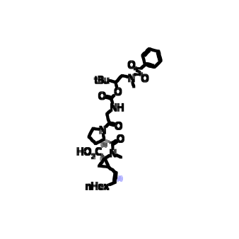 CCCCCC/C=C\C1C[C@@]1(C(=O)O)N(C)C(=O)[C@@H]1CCCN1C(=O)CNC(=O)OC(CN(C)S(=O)(=O)c1ccccc1)C(C)(C)C